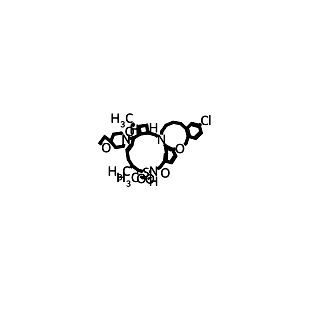 CCO[C@]1(N2CCC3(CCO3)CC2)/C=C/CC(C)[C@@H](C)S(=O)(=O)NC(=O)c2ccc3c(c2)N(CCCCc2cc(Cl)ccc2CO3)C[C@@H]2CC[C@H]21